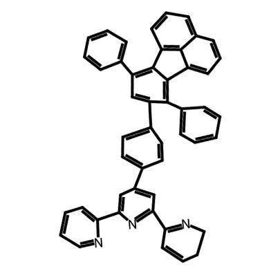 C1=CC(c2cc(-c3ccc(-c4cc(-c5ccccc5)c5c(c4-c4ccccc4)-c4cccc6cccc-5c46)cc3)cc(-c3ccccn3)n2)=NCC1